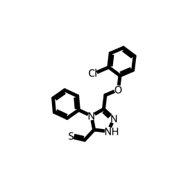 S=CC1NN=C(COc2ccccc2Cl)N1c1ccccc1